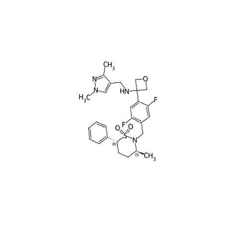 Cc1nn(C)cc1CNC1(c2cc(F)c(CN3[C@@H](C)CC[C@H](c4ccccc4)S3(=O)=O)cc2F)COC1